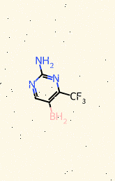 Bc1cnc(N)nc1C(F)(F)F